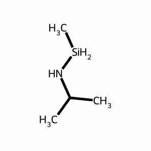 C[SiH2]NC(C)C